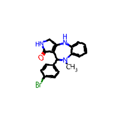 CN1c2ccccc2NC2=C(C(=O)NC2)C1c1ccc(Br)cc1